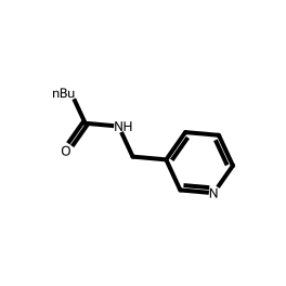 CCCCC(=O)NCc1cccnc1